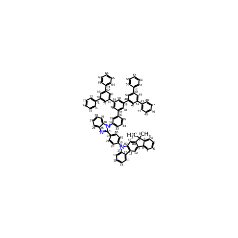 CC1(C)c2ccccc2-c2cc3c4ccccc4n(-c4ccc(-c5nc6ccccc6n5-c5cccc(-c6cc(-c7cc(-c8ccccc8)cc(-c8ccccc8)c7)cc(-c7cc(-c8ccccc8)cc(-c8ccccc8)c7)c6)c5)cc4)c3cc21